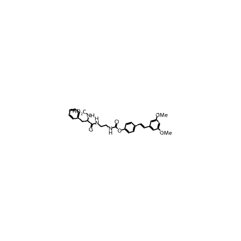 COc1cc(/C=C/c2ccc(OC(=O)NCCNC(=O)C(Cc3ccccc3)NC(=O)O)cc2)cc(OC)c1